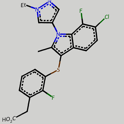 CCn1cc(-n2c(C)c(Sc3cccc(CC(=O)O)c3F)c3ccc(Cl)c(F)c32)cn1